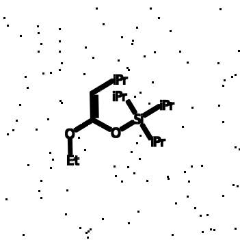 CCOC(=CC(C)C)O[Si](C(C)C)(C(C)C)C(C)C